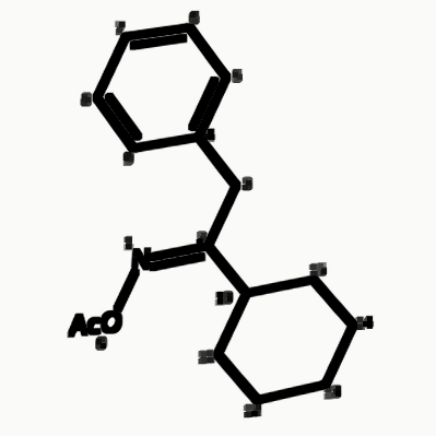 CC(=O)ON=C(Cc1ccccc1)C1CCCCC1